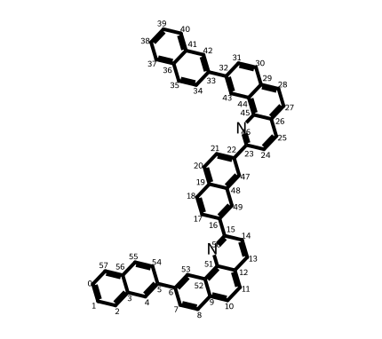 c1ccc2cc(-c3ccc4ccc5ccc(-c6ccc7ccc(-c8ccc9ccc%10ccc(-c%11ccc%12ccccc%12c%11)cc%10c9n8)cc7c6)nc5c4c3)ccc2c1